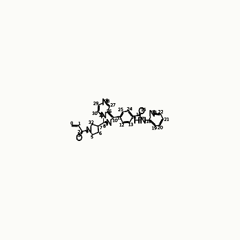 C=CC(=O)N1CCC(c2nc(-c3ccc(C(=O)Nc4ccccn4)cc3)c3cnccn23)C1